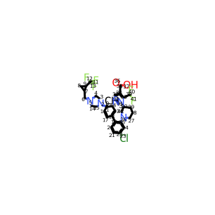 CC1(N2CCN(CC3CC3C(F)(F)F)CC2)C=CC(c2ccc(Cl)cc2N2CCCC(n3ncc(C(=O)O)c3C(F)F)C2)=CC1